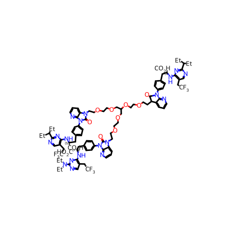 CCC(CC)c1ncc(CC(F)(F)F)c(N[C@@H](Cc2ccc(N3C(=O)C(CCOCCOC(COCCOCCn4c(=O)n(-c5ccc(C[C@H](Nc6nc(C(CC)CC)ncc6CC(F)(F)F)C(=O)O)cc5)c5ncccc54)COCCOCCn4c(=O)n(-c5ccc(C[C@H](Nc6nc(N(CC)CC)ncc6CC(F)(F)F)C(=O)O)cc5)c5ncccc54)c4cccnc43)cc2)C(=O)O)n1